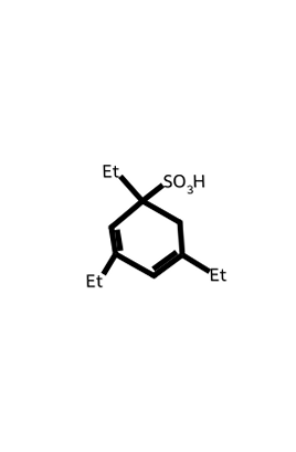 CCC1=CC(CC)(S(=O)(=O)O)CC(CC)=C1